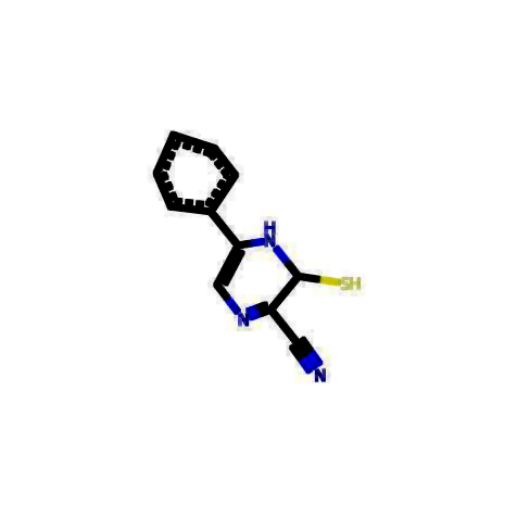 N#CC1=NC=C(c2ccccc2)NC1S